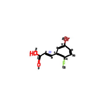 O=C(O)/C=C/c1cc(Br)ccc1F